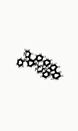 c1ccc(-n2c3ccc4c(c5ccccc5n4-c4nccc([Si](c5ccccc5)(c5ccccc5)c5cccc6c5sc5ccccc56)n4)c3c3cccnc32)cc1